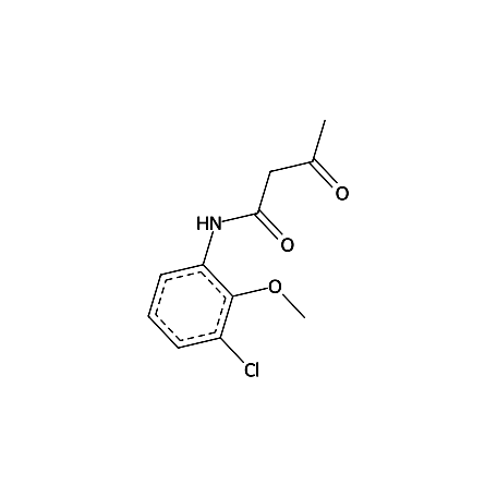 COc1c(Cl)cccc1NC(=O)CC(C)=O